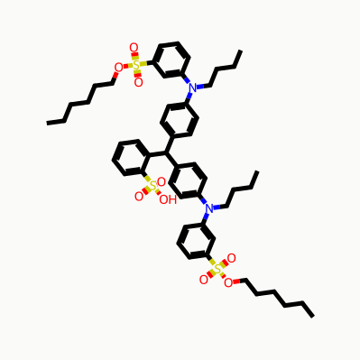 CCCCCCOS(=O)(=O)c1cccc(N(CCCC)c2ccc(C(c3ccc(N(CCCC)c4cccc(S(=O)(=O)OCCCCCC)c4)cc3)c3ccccc3S(=O)(=O)O)cc2)c1